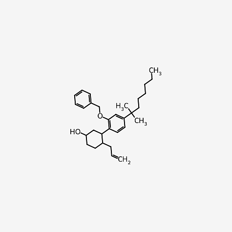 C=CCC1CCC(O)CC1c1ccc(C(C)(C)CCCCCC)cc1OCc1ccccc1